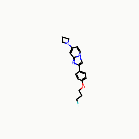 FCCCOc1ccc(-c2cn3ccc(N4CCC4)cc3n2)cc1